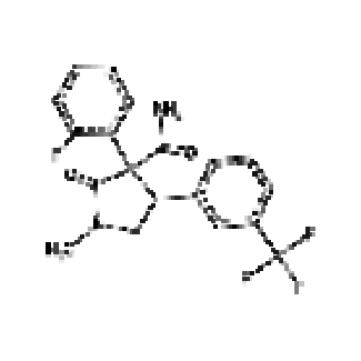 CN1CC(c2cccc(C(F)(F)F)c2)C(C(N)=O)(c2ccccc2F)C1=O